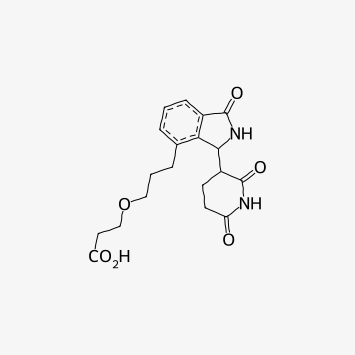 O=C(O)CCOCCCc1cccc2c1C(C1CCC(=O)NC1=O)NC2=O